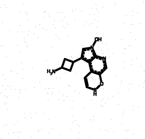 NC1CC(c2cn(O)c3ncc4c(c23)C=CBO4)C1